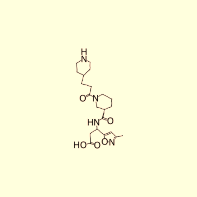 Cc1cc(C(CC(=O)O)NC(=O)[C@@H]2CCCN(C(=O)CCC3CCNCC3)C2)on1